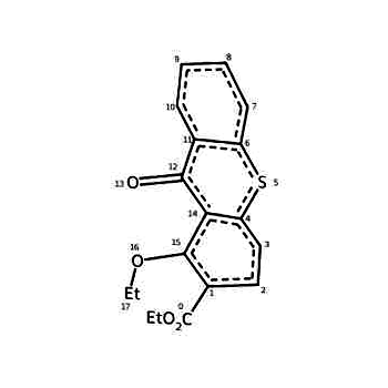 CCOC(=O)c1ccc2sc3ccccc3c(=O)c2c1OCC